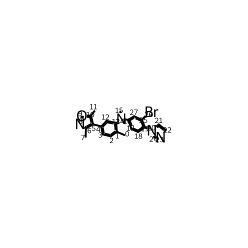 Cc1ccc(-c2c(C)noc2C)cc1N(C)c1ccc(-n2ccnc2)c(Br)c1